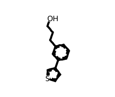 OCCCc1cccc(-c2ccsc2)c1